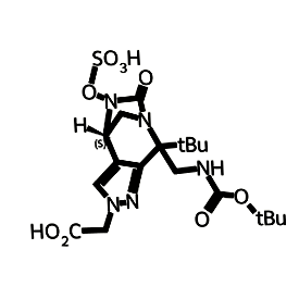 CC(C)(C)OC(=O)NCC1(C(C)(C)C)c2nn(CC(=O)O)cc2[C@H]2CN1C(=O)N2OS(=O)(=O)O